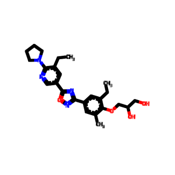 CCc1cc(-c2nc(-c3cc(C)c(OCC(O)CO)c(CC)c3)no2)cnc1N1CCCC1